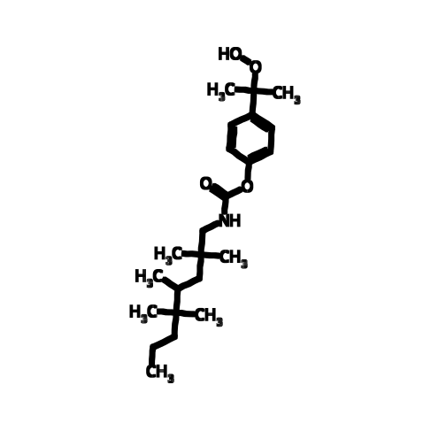 CCCC(C)(C)C(C)CC(C)(C)CNC(=O)Oc1ccc(C(C)(C)OO)cc1